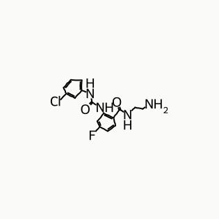 NCCNC(=O)c1ccc(F)cc1NC(=O)Nc1cccc(Cl)c1